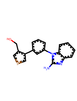 Nc1nc2ccccc2n1-c1cccc(-c2cscc2CO)c1